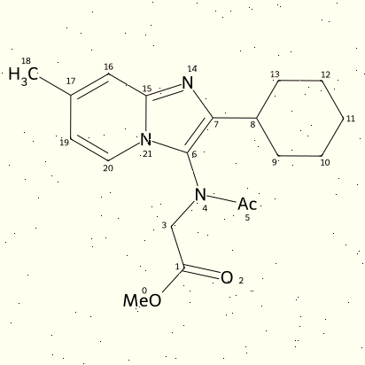 COC(=O)CN(C(C)=O)c1c(C2CCCCC2)nc2cc(C)ccn12